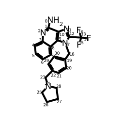 Nc1nc2ccccc2c2c1nc(C(F)(F)F)n2Cc1ccc(CN2CCCC2)cc1